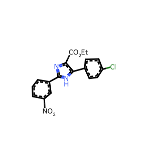 CCOC(=O)c1nc(-c2cccc([N+](=O)[O-])c2)[nH]c1-c1ccc(Cl)cc1